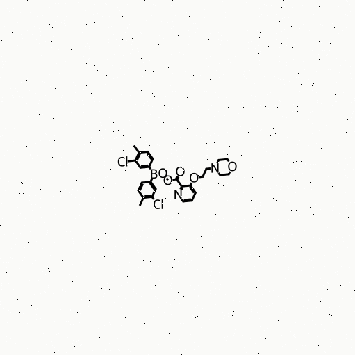 Cc1ccc(B(OOC(=O)c2ncccc2OCCN2CCOCC2)c2ccc(C)c(Cl)c2)cc1Cl